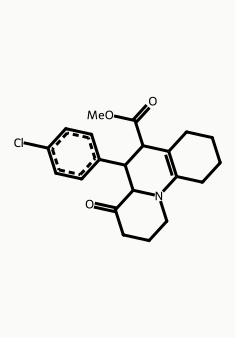 COC(=O)C1C2=C(CCCC2)N2CCCC(=O)C2C1c1ccc(Cl)cc1